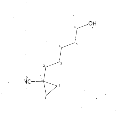 N#CC1(CCCCCO)CC1